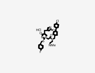 CNCCN(Cc1ccc(-c2ccc(Cl)cc2)cc1)C(=O)Cn1cc(Cc2cnn(C)c2)c(=O)nc1SCc1ccc(F)cc1.Cl